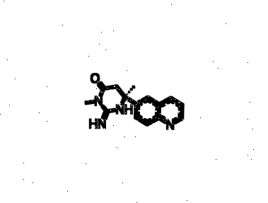 CN1C(=N)N[C@](C)(c2ccc3ncccc3c2)CC1=O